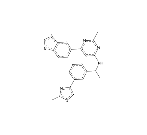 Cc1nc(NC(C)c2cccc(-c3csc(C)n3)c2)cc(-c2ccc3ncsc3c2)n1